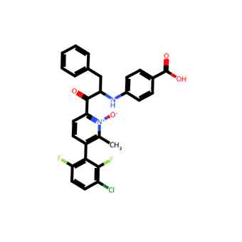 Cc1c(-c2c(F)ccc(Cl)c2F)ccc(C(=O)C(Cc2ccccc2)Nc2ccc(C(=O)O)cc2)[n+]1[O-]